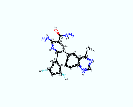 Cc1ncnc2ccc(-c3cc(C(N)=O)c(N)nc3-c3cc(F)cc(F)c3)cc12